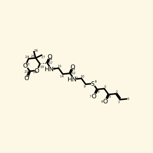 C/C=C/C(=O)CC(=O)SCCNC(=O)CCNC(=O)[C@@H]1OC(=O)OCC1(C)C